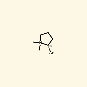 CC(=O)[C@H]1CCC[N+]1(C)C